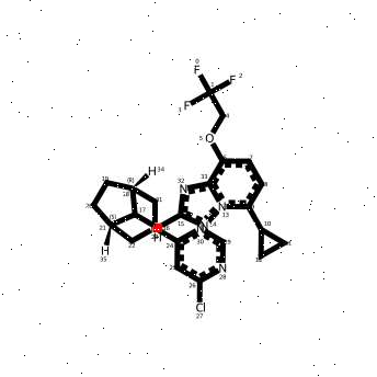 FC(F)(F)COc1ccc(C2CC2)n2nc(NC3[C@@H]4CC[C@H]3CN(c3cc(Cl)ncn3)C4)nc12